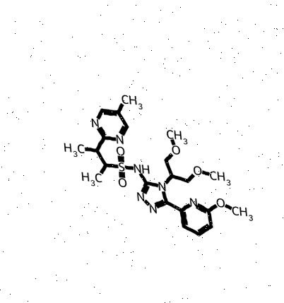 COCC(COC)n1c(NS(=O)(=O)C(C)C(C)c2ncc(C)cn2)nnc1-c1cccc(OC)n1